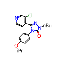 CCCCn1nc(-c2ccncc2Cl)n(-c2ccc(OC(C)C)cc2)c1=O